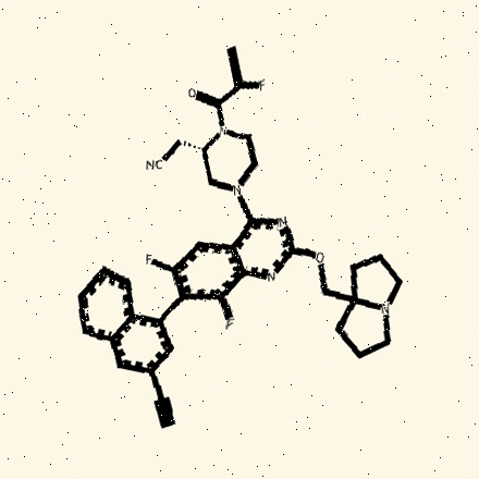 C#Cc1cc(-c2c(F)cc3c(N4CCN(C(=O)C(=C)F)[C@@H](CC#N)C4)nc(OCC45CCCN4CCC5)nc3c2F)c2ccccc2c1